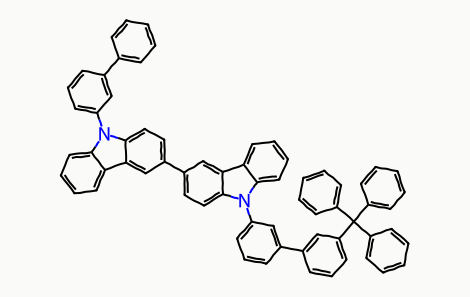 c1ccc(-c2cccc(-n3c4ccccc4c4cc(-c5ccc6c(c5)c5ccccc5n6-c5cccc(-c6cccc(C(c7ccccc7)(c7ccccc7)c7ccccc7)c6)c5)ccc43)c2)cc1